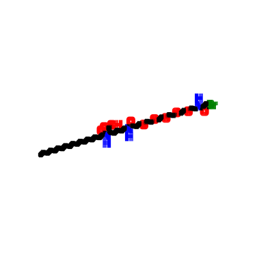 CCCCCCCCCCCCCCCCCC(=O)NC(CCCCNC(=O)CCOCCOCCOCCOCCOCCNC(=O)CBr)C(=O)O